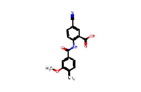 COc1cc(C(=O)Nc2ccc(C#N)cc2C(=O)O)ccc1C